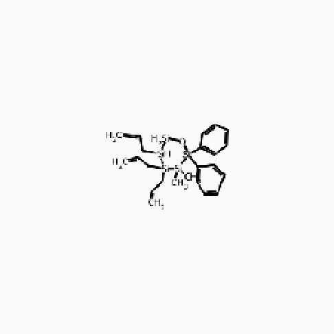 C=CC[SiH]1[SiH2]O[Si](c2ccccc2)(c2ccccc2)[Si](C)(C)[Si]1(CC=C)CC=C